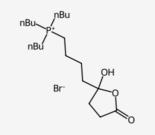 CCCC[P+](CCCC)(CCCC)CCCCC1(O)CCC(=O)O1.[Br-]